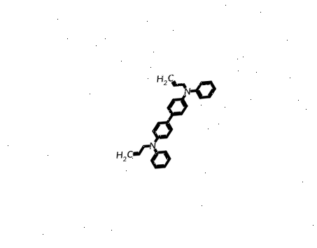 C=CCN(c1ccccc1)c1ccc(-c2ccc(N(CC=C)c3ccccc3)cc2)cc1